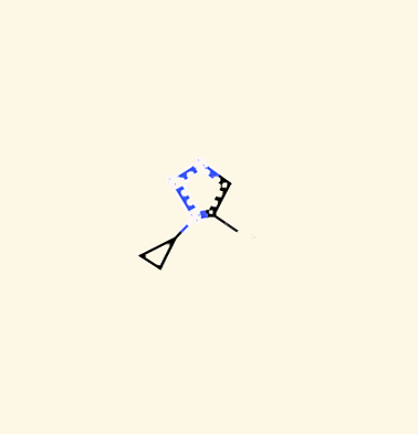 CC(C)(C)c1cnnn1C1CC1